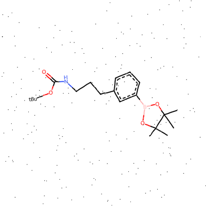 CC(C)(C)OC(=O)NCCCc1cccc(B2OC(C)(C)C(C)(C)O2)c1